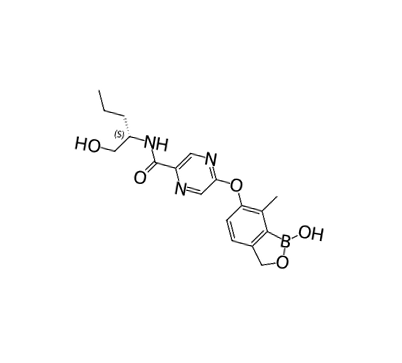 CCC[C@@H](CO)NC(=O)c1cnc(Oc2ccc3c(c2C)B(O)OC3)cn1